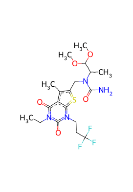 CCn1c(=O)c2c(C)c(CN(C(N)=O)C(C)C(OC)OC)sc2n(CCC(F)(F)F)c1=O